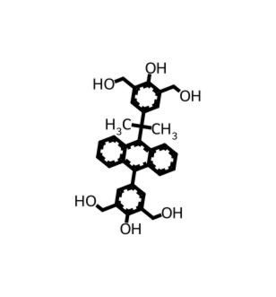 CC(C)(c1cc(CO)c(O)c(CO)c1)c1c2ccccc2c(-c2cc(CO)c(O)c(CO)c2)c2ccccc12